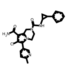 Cc1ccc(-c2c(Cl)c(C(N)=O)c3n2CCN(C(=O)NC2CC2c2ccccc2)C3)cn1